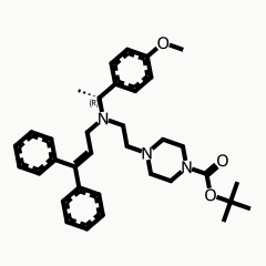 COc1ccc([C@@H](C)N(CC=C(c2ccccc2)c2ccccc2)CCN2CCN(C(=O)OC(C)(C)C)CC2)cc1